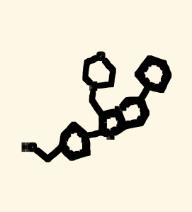 OCc1ccc(-c2nc3ccc(-c4ccccc4)cn3c2CN2CCOCC2)cc1